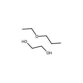 CCCOCC.OCCO